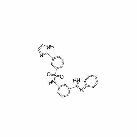 O=S(=O)(Nc1cccc(-c2nc3ccccc3[nH]2)c1)c1cccc(-c2ncc[nH]2)c1